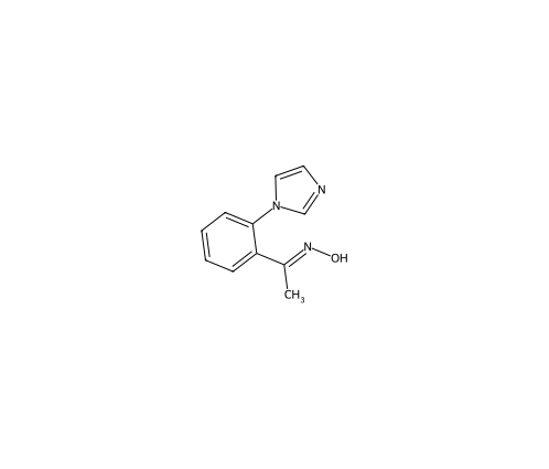 CC(=NO)c1ccccc1-n1ccnc1